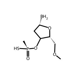 B[C@H]1CC(O[P@](C)(=O)S)[C@@H](COC)O1